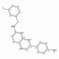 Cc1cccc(CNc2ccc3ncc(-c4ccc(O)cc4)nc3n2)c1